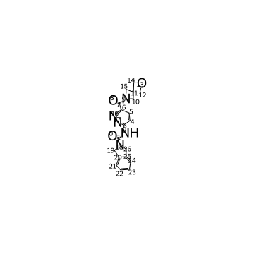 O=C(Nc1ccc(C(=O)N2CC3(COC3)C2)nn1)N1Cc2ccccc2C1